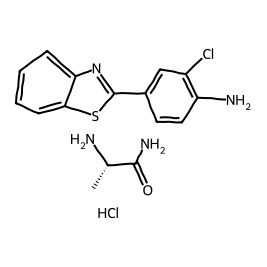 C[C@H](N)C(N)=O.Cl.Nc1ccc(-c2nc3ccccc3s2)cc1Cl